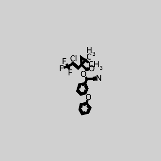 CC1(C)CC1(/C=C(\Cl)C(F)(F)F)C(=O)OC(C#N)c1cccc(Oc2ccccc2)c1